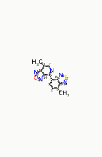 Cc1ccc(-c2ncc(C)c3nonc23)c2nsnc12